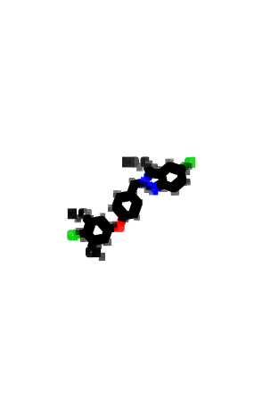 Cc1cc(Oc2ccc(Cn3nc4ccc(Cl)cc4c3C(=O)O)cc2)cc(C)c1Cl